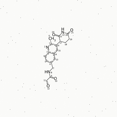 Cc1nc2ccc(CNC(=O)C=O)cc2cc1C1CCC(=O)NC1=O